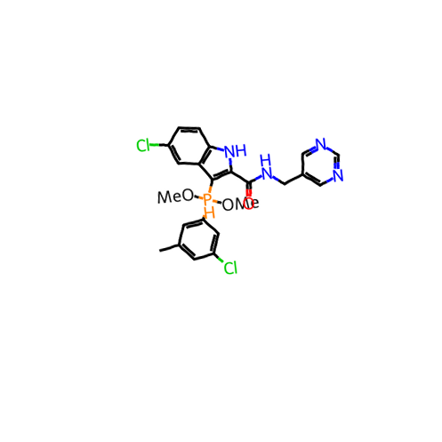 CO[PH](OC)(c1cc(C)cc(Cl)c1)c1c(C(=O)NCc2cncnc2)[nH]c2ccc(Cl)cc12